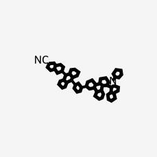 N#Cc1ccc2cc(-c3c4ccccc4c(-c4cccc(-c5ccc6c(c5)c5ccccc5c5c6ccc6c5c5c7ccccc7ccc5n6-c5ccccc5)c4)c4ccccc34)ccc2c1